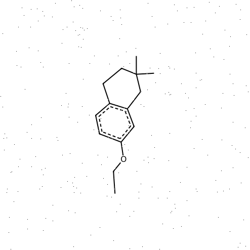 CCOc1ccc2c(c1)CC(C)(C)CC2